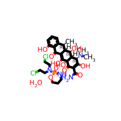 C[C@H]1c2cccc(O)c2C(=O)C2=C(O)[C@]3(O)C(=O)C(C(N)=O)=C(O)[C@@H](N(C)C)[C@@H]3[C@@H](O)[C@@H]21.O.O=P1(N(CCCl)CCCl)NCCCO1